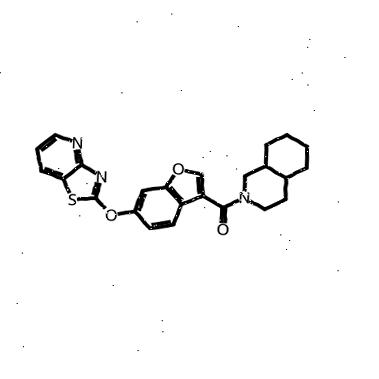 O=C(c1coc2cc(Oc3nc4ncccc4s3)ccc12)N1CCC2CCCCC2C1